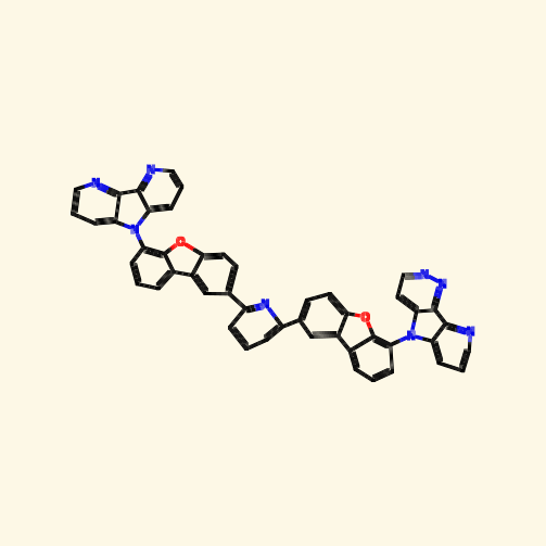 c1cc(-c2ccc3oc4c(-n5c6cccnc6c6ncccc65)cccc4c3c2)nc(-c2ccc3oc4c(-n5c6cccnc6c6nnccc65)cccc4c3c2)c1